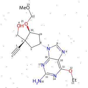 C#C[C@]1(CO)C[C@@H](n2cnc3c(OCC)nc(N)nc32)C[C@@H]1OCOC